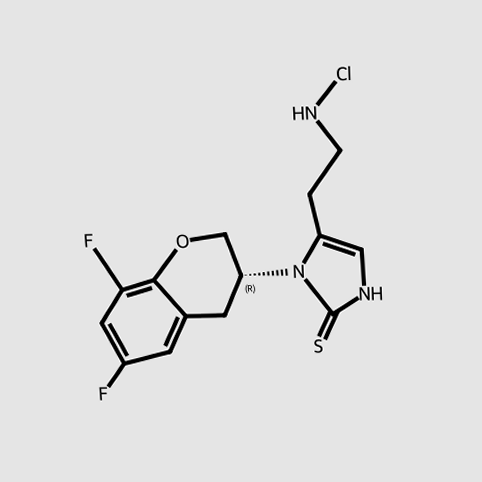 Fc1cc(F)c2c(c1)C[C@@H](n1c(CCNCl)c[nH]c1=S)CO2